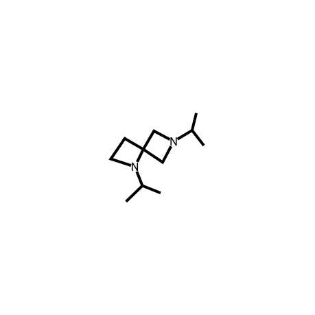 CC(C)N1CC2(CCN2C(C)C)C1